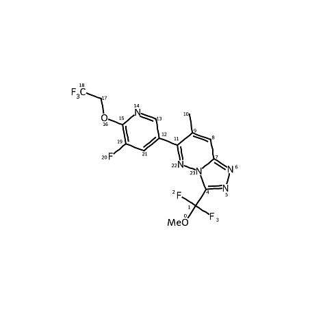 COC(F)(F)c1nnc2cc(C)c(-c3cnc(OCC(F)(F)F)c(F)c3)nn12